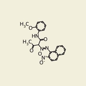 COc1ccccc1NC(=O)C(N=Nc1c([N+](=O)[O-])ccc2ccccc12)C(C)=O